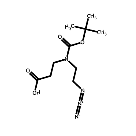 CC(C)(C)OC(=O)N(CCN=[N+]=[N-])CCC(=O)O